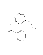 CCOc1ccccc1.O=C(O)c1ccccc1